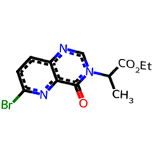 CCOC(=O)C(C)n1cnc2ccc(Br)nc2c1=O